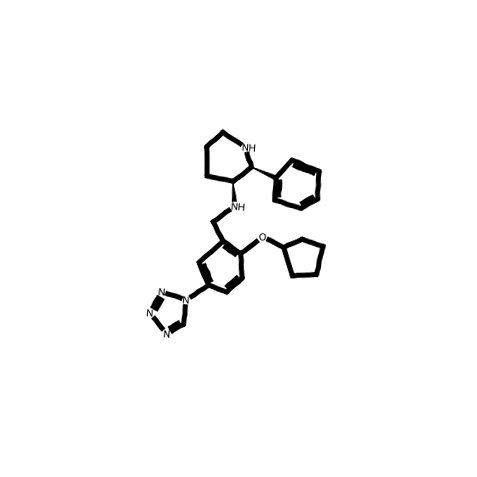 c1ccc([C@@H]2NCCC[C@@H]2NCc2cc(-n3cnnn3)ccc2OC2CCCC2)cc1